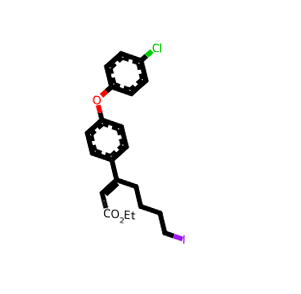 CCOC(=O)C=C(CCCCI)c1ccc(Oc2ccc(Cl)cc2)cc1